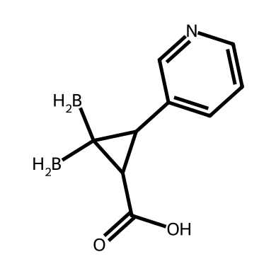 BC1(B)C(C(=O)O)C1c1cccnc1